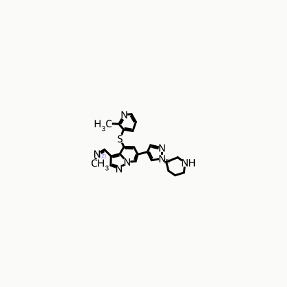 C/N=C\c1cnn2cc(-c3cnn([C@H]4CCCNC4)c3)cc(Sc3cccnc3C)c12